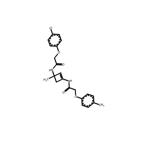 Cc1ccc(OCC(=O)NC2=CC(C)(NC(=O)COc3ccc(Cl)cc3)C2)cc1